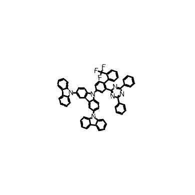 FC(F)(F)c1ccccc1-c1ccc(-n2c3ccc(-n4c5ccccc5c5ccccc54)cc3c3cc(-n4c5ccccc5c5ccccc54)ccc32)cc1-c1nc(-c2ccccc2)nc(-c2ccccc2)n1